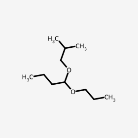 CCCOC(CCC)OCC(C)C